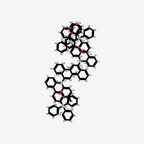 Cc1ccc(N(c2ccccc2-c2ccc(S(c3ccccc3)(c3ccccc3)c3ccccc3)cc2)c2cc3c4ccccc4c(N(c4ccc(S(Cc5ccccc5)(c5ccccc5)c5ccccc5)cc4)c4ccccc4-c4ccc(S(c5ccccc5)(c5ccccc5)c5ccccc5)cc4)cc3c3ccccc23)cc1